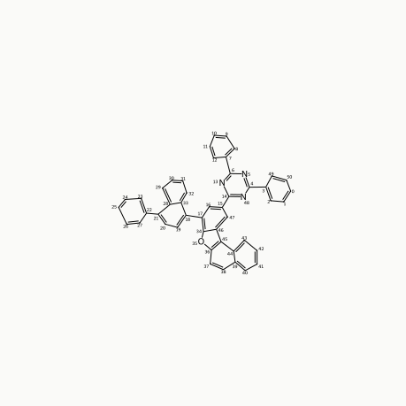 c1ccc(-c2nc(-c3ccccc3)nc(-c3cc(-c4ccc(-c5ccccc5)c5ccccc45)c4oc5ccc6ccccc6c5c4c3)n2)cc1